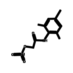 Cc1cc(C)c(NC(=O)CO[SH](=O)=O)c(C)c1